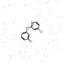 [CH2]c1cccc(Oc2cc(Cl)ccn2)c1